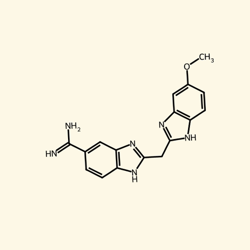 COc1ccc2[nH]c(Cc3nc4cc(C(=N)N)ccc4[nH]3)nc2c1